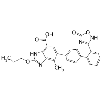 CCCOc1nc2c(C)c(-c3ccc(-c4ccccc4-c4nc(=O)o[nH]4)cc3)cc(C(=O)O)c2[nH]1